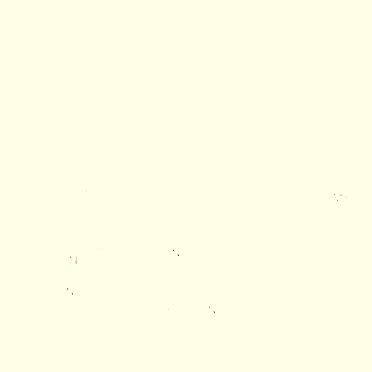 COc1ccc(-c2noc(-c3cnn(C)c3COc3ccc(C(F)(F)F)cc3)n2)cc1